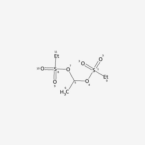 CCS(=O)(=O)OC(C)OS(=O)(=O)CC